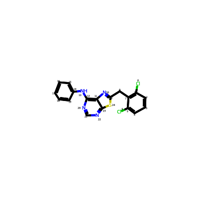 Clc1cccc(Cl)c1Cc1nc2c(Nc3ccccc3)ncnc2s1